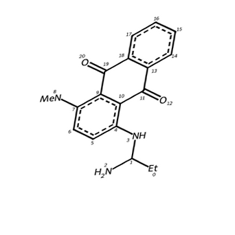 CCC(N)Nc1ccc(NC)c2c1C(=O)c1ccccc1C2=O